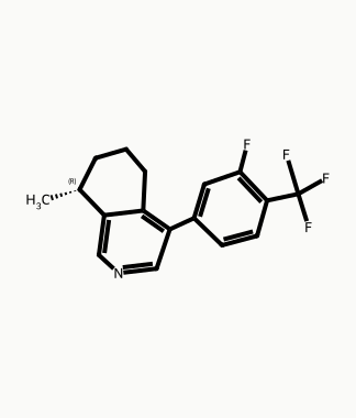 C[C@@H]1CCCc2c(-c3ccc(C(F)(F)F)c(F)c3)cncc21